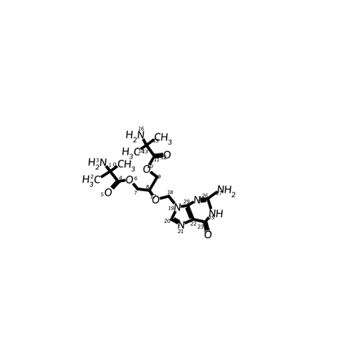 CC(C)(N)C(=O)OCC(COC(=O)C(C)(C)N)OCn1cnc2c(=O)[nH]c(N)nc21